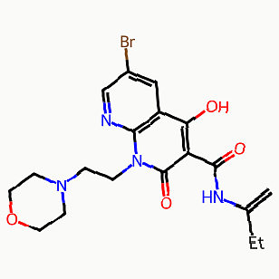 C=C(CC)NC(=O)c1c(O)c2cc(Br)cnc2n(CCN2CCOCC2)c1=O